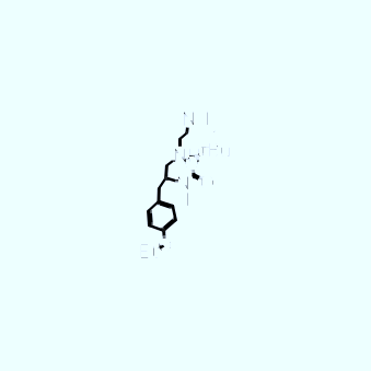 CCOc1ccc(CC(CNCCN)NC(=O)OC(C)(C)C)cc1